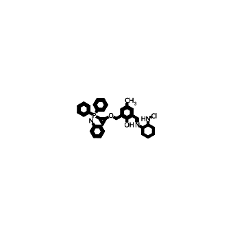 Cc1cc(/C=N/C2CCCCC2NCl)c(O)c(COC2CC2P(=Nc2ccccc2)(c2ccccc2)c2ccccc2)c1